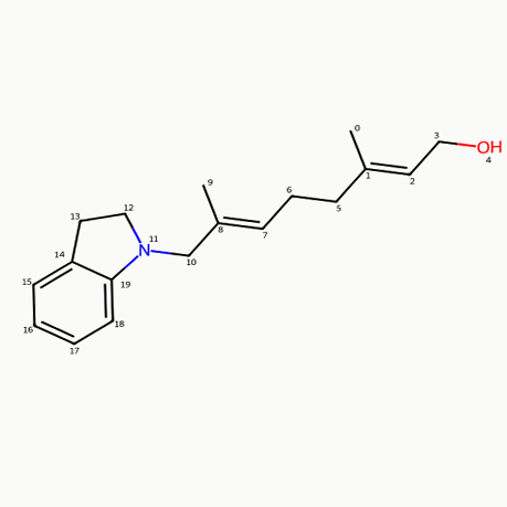 C/C(=C\CO)CC/C=C(\C)CN1CCc2ccccc21